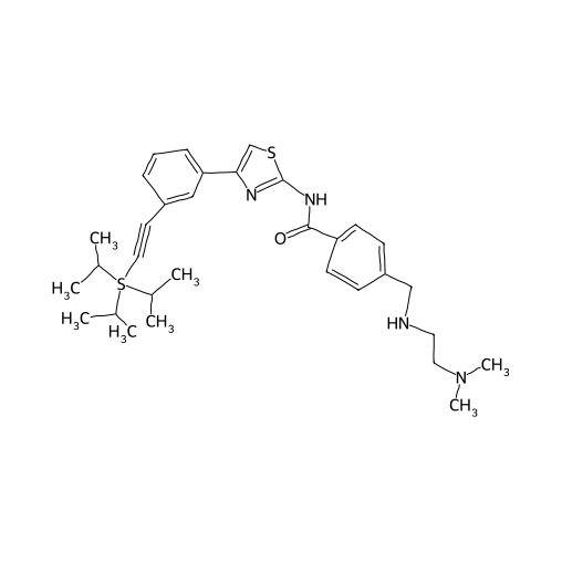 CC(C)S(C#Cc1cccc(-c2csc(NC(=O)c3ccc(CNCCN(C)C)cc3)n2)c1)(C(C)C)C(C)C